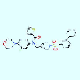 O=C(c1cccs1)N(CC1C2CN(S(=O)(=O)c3cccc(-c4ccccc4)c3)CC12)c1ccc(N2CCOCC2)c(F)c1